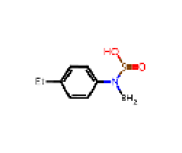 BN(c1ccc(CC)cc1)S(=O)O